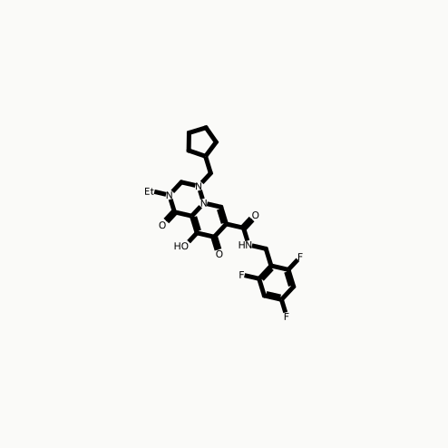 CCN1CN(CC2CCCC2)n2cc(C(=O)NCc3c(F)cc(F)cc3F)c(=O)c(O)c2C1=O